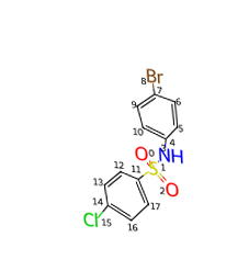 O=S(=O)(Nc1ccc(Br)cc1)c1ccc(Cl)cc1